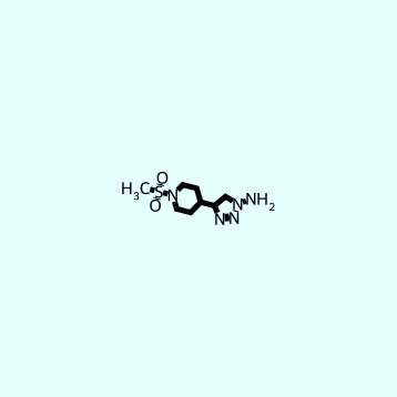 CS(=O)(=O)N1CCC(C2CN(N)N=N2)CC1